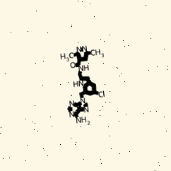 Cc1cc(C(=O)NCc2cc3cc(Cl)cc(Cn4cnc5c(N)ncnc54)c3[nH]2)c(C)nn1